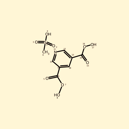 CS(=O)(=O)O.O=C(OO)c1cncc(C(=O)OO)c1